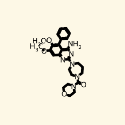 COc1cc2nc(N3CCCN(C(=O)N4CCOCC4)CC3)nc(N)c2c(-c2ccccc2)c1OC